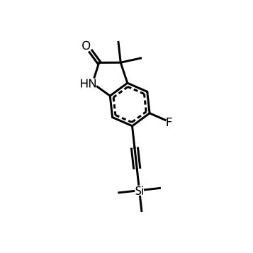 CC1(C)C(=O)Nc2cc(C#C[Si](C)(C)C)c(F)cc21